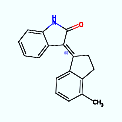 Cc1cccc2c1CC/C2=C1\C(=O)Nc2ccccc21